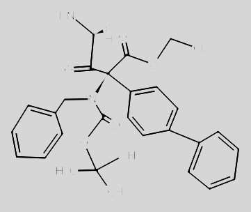 CCOC(=O)[C@@](C(=O)[C@H](C)N)(c1ccc(-c2ccccc2)cc1)N(Cc1ccccc1)C(=O)OC(C)(C)C